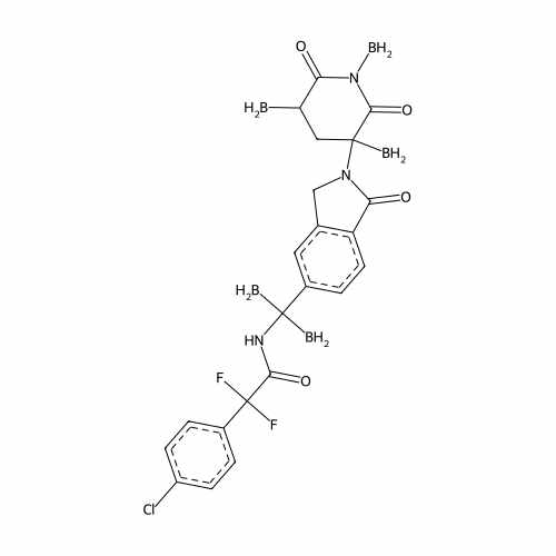 BC1CC(B)(N2Cc3cc(C(B)(B)NC(=O)C(F)(F)c4ccc(Cl)cc4)ccc3C2=O)C(=O)N(B)C1=O